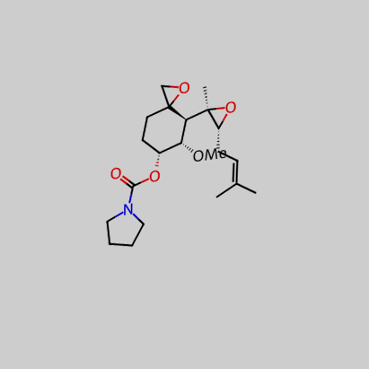 CO[C@@H]1[C@H](OC(=O)N2CCCC2)CCC2(CO2)[C@H]1[C@@]1(C)O[C@@H]1CC=C(C)C